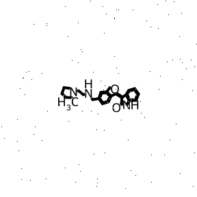 CC1CCCCN1CCNCc1ccc2c(c1)COC2=C1C(=O)Nc2ccccc21